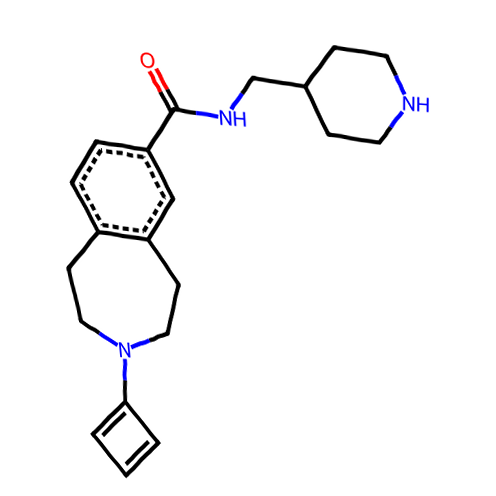 O=C(NCC1CCNCC1)c1ccc2c(c1)CCN(C1=CC=C1)CC2